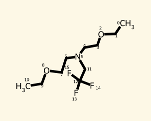 CCOCCN(CCOCC)CC(F)(F)F